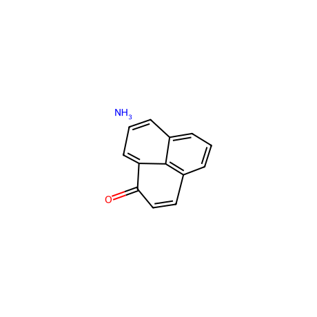 N.O=C1C=Cc2cccc3cccc1c23